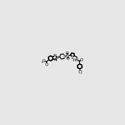 COC(=O)c1ccc2nn(C3CCN(S(=O)(=O)c4ccc(CNC(=O)c5ccc(Cl)cc5)s4)CC3)nc2c1